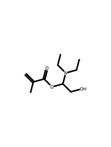 C=C(C)C(=O)OC(CO)N(CC)CC